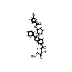 CC(C)(C)OC(=O)NNC(=O)c1cc2nc(-c3ccccn3)n(C3CCCC(NC(=O)c4ccc(Br)s4)C3)c2cn1